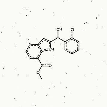 COC(=O)c1ccnc2cc(C(O)c3ccccc3Cl)[nH]c12